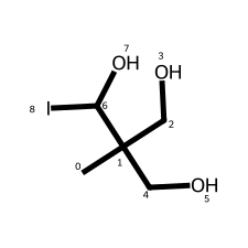 CC(CO)(CO)C(O)I